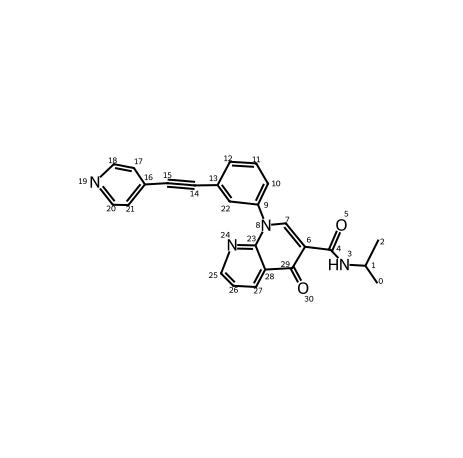 CC(C)NC(=O)c1cn(-c2cccc(C#Cc3ccncc3)c2)c2ncccc2c1=O